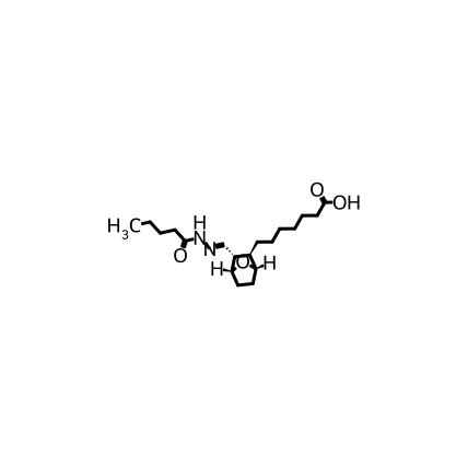 CCCCC(=O)NN=C[C@@H]1[C@@H](CCCCCCC(=O)O)[C@@H]2CC[C@H]1O2